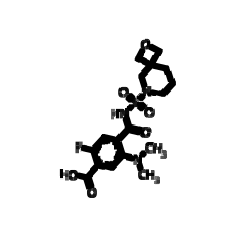 CN(C)c1cc(C(=O)O)c(F)cc1C(=O)NS(=O)(=O)N1CCCC2(COC2)C1